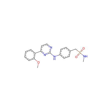 CNS(=O)(=O)Cc1ccc(Nc2nccc(-c3ccccc3OC)n2)cc1